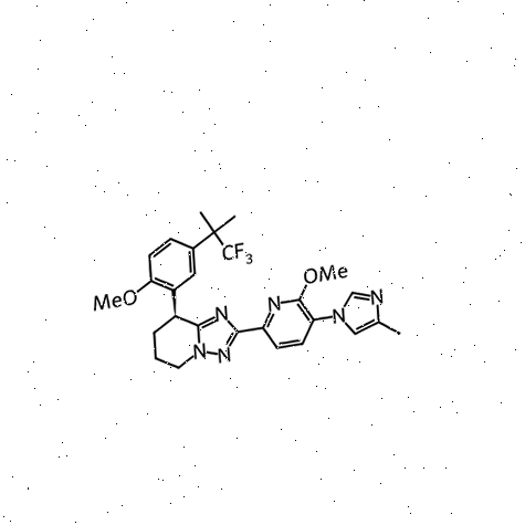 COc1ccc(C(C)(C)C(F)(F)F)cc1[C@@H]1CCCn2nc(-c3ccc(-n4cnc(C)c4)c(OC)n3)nc21